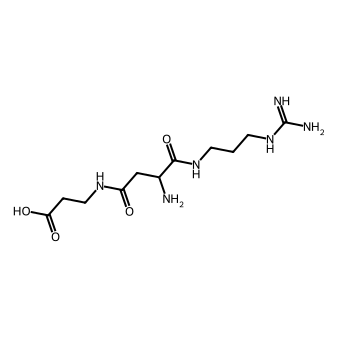 N=C(N)NCCCNC(=O)C(N)CC(=O)NCCC(=O)O